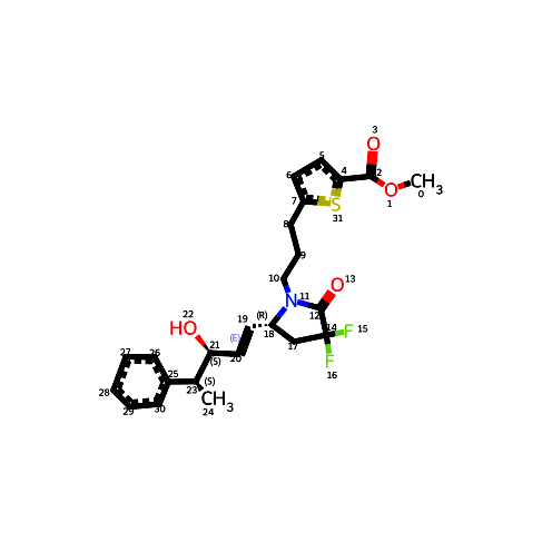 COC(=O)c1ccc(CCCN2C(=O)C(F)(F)C[C@@H]2/C=C/[C@H](O)[C@@H](C)c2ccccc2)s1